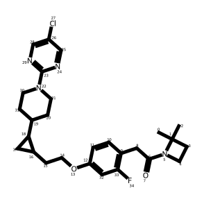 CC1(C)CCN1C(=O)Cc1ccc(OCCC2CC2C2CCN(c3ncc(Cl)cn3)CC2)cc1F